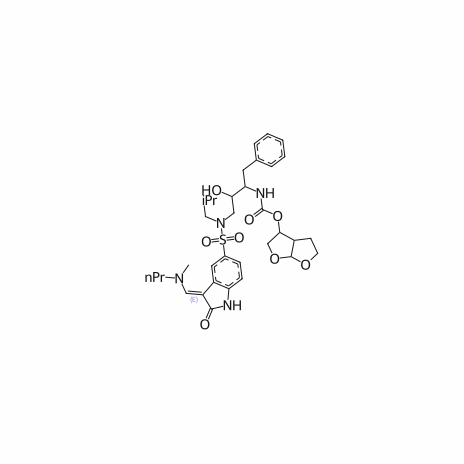 CCCN(C)/C=C1/C(=O)Nc2ccc(S(=O)(=O)N(CC(C)C)CC(O)C(Cc3ccccc3)NC(=O)OC3COC4OCCC34)cc21